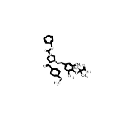 CSC1=CCC(C(=O)[C@@H]2CN(C(=O)Oc3ccccc3)C[C@H]2CCc2cc(C)c(OC(C)(C)C(=O)O)c(C)c2)C=C1